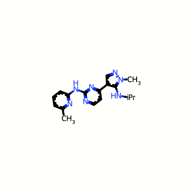 Cc1cccc(Nc2nccc(-c3cnn(C)c3NC(C)C)n2)n1